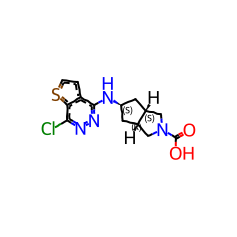 O=C(O)N1C[C@H]2C[C@H](Nc3nnc(Cl)c4sccc34)C[C@H]2C1